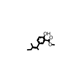 CC/C(C)=C(\C)c1ccc(O)c(C(=O)OC)c1